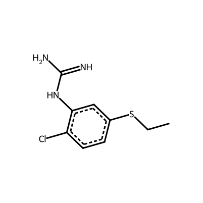 CCSc1ccc(Cl)c(NC(=N)N)c1